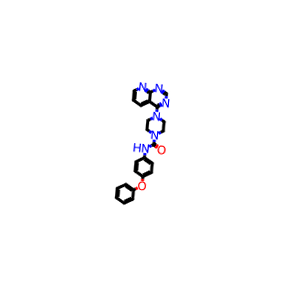 O=C(Nc1ccc(Oc2ccccc2)cc1)N1CCN(c2ncnc3ncccc23)CC1